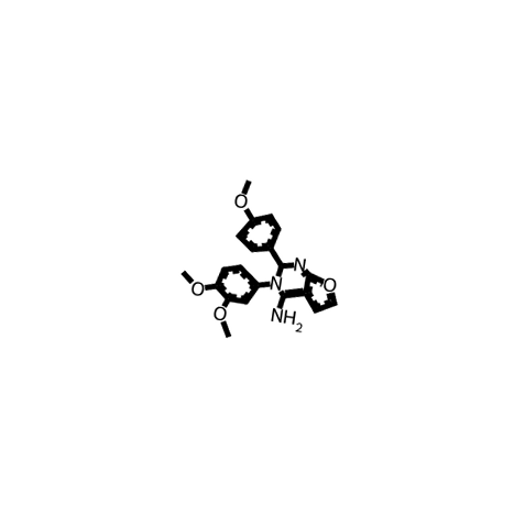 COc1ccc(C2N=c3occc3=C(N)N2c2ccc(OC)c(OC)c2)cc1